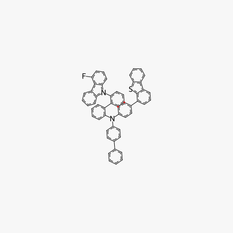 Fc1cccc2c1c1ccccc1n2-c1ccccc1-c1ccccc1N(c1ccc(-c2ccccc2)cc1)c1ccc(-c2cccc3c2sc2ccccc23)cc1